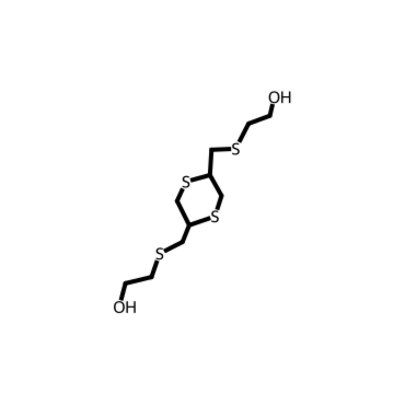 OCCSCC1CSC(CSCCO)CS1